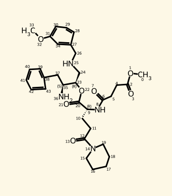 COC(=O)CCC(=O)N[C@H](CCC(=O)N1CCCCC1)C(=O)O[C@H](CNCc1cccc(OC)c1)[C@@H](N)Cc1ccccc1